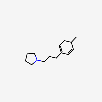 CC1C=CC(CCCN2CCCC2)=CC1